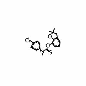 CN(C(=S)Oc1cccc2c1OC(C)(C)C2)c1ccc(Cl)cc1